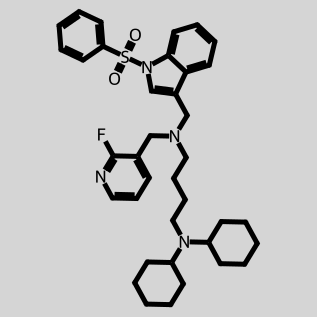 O=S(=O)(c1ccccc1)n1cc(CN(CCCCN(C2CCCCC2)C2CCCCC2)Cc2cccnc2F)c2ccccc21